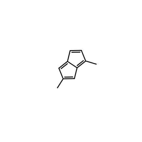 CC1=CC2=C(C)C=CC2=C1